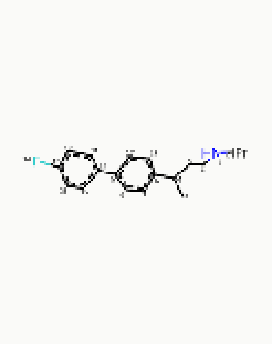 CC(C)NCCC(C)c1ccc(-c2ccc(F)cc2)cc1